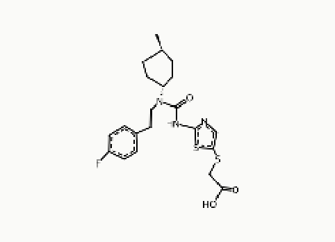 C[C@H]1CC[C@H](N(CCc2ccc(F)cc2)C(=O)Nc2ncc(SCC(=O)O)s2)CC1